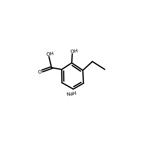 CCc1cccc(C(=O)O)c1O.[NaH]